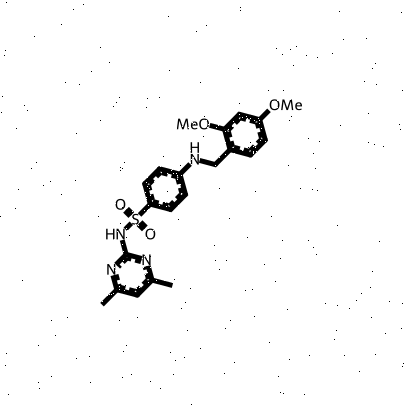 COc1ccc(CNc2ccc(S(=O)(=O)Nc3nc(C)cc(C)n3)cc2)c(OC)c1